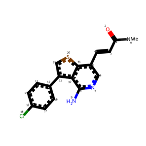 CNC(=O)C=Cc1cnc(N)c2c(-c3ccc(Cl)cc3)csc12